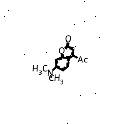 CC(=O)c1cc(=O)oc2cc(N(C)C)ccc12